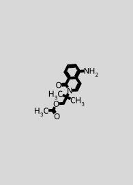 CC(=O)OCC(C)(C)n1ccc2c(N)cccc2c1=O